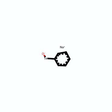 [Na+].[O-][Te]c1ccccc1